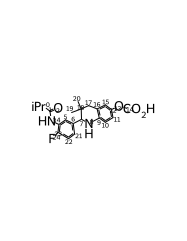 CC(C)C(=O)Nc1cc(C2Nc3ccc(OC(=O)O)cc3CC2(C)C)ccc1F